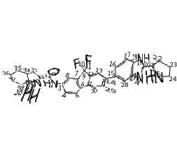 O=C(Nc1ccc2c(c1)C(F)(F)c1cc(-c3ccc4[nH]c(C5CCCN5)nc4c3)ccc1-2)C1CC2CCCC[C@@H]2N1